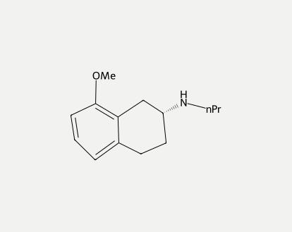 CCCN[C@@H]1CCc2cccc(OC)c2C1